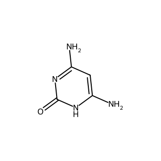 Nc1cc(N)[nH]c(=O)n1